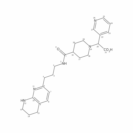 O=C(NCCCc1ccc2c(n1)NCCC2)C1CCN(C(C(=O)O)c2cccnc2)CC1